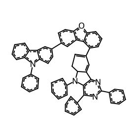 C1=C(c2cccc3oc4ccc(-c5ccc6c(c5)c5ccccc5n6-c5ccccc5)cc4c23)C=C2c3nc(-c4ccccc4)nc(-c4ccccc4)c3N(c3ccccc3)C2C1